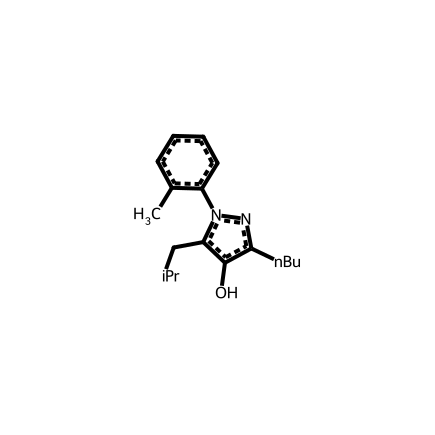 CCCCc1nn(-c2ccccc2C)c(CC(C)C)c1O